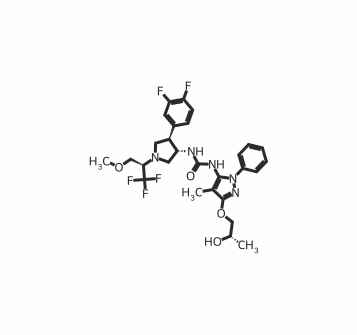 COC[C@@H](N1C[C@@H](NC(=O)Nc2c(C)c(OC[C@H](C)O)nn2-c2ccccc2)[C@H](c2ccc(F)c(F)c2)C1)C(F)(F)F